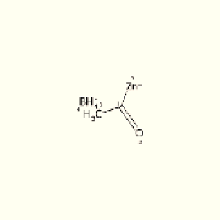 C[C](=O)[Zn+].[BH4-]